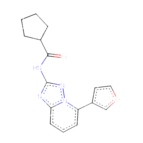 O=C(Nc1nc2cccc(-c3ccoc3)n2n1)C1CCCC1